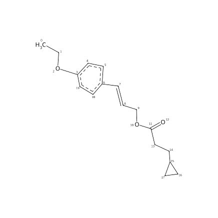 CCOc1ccc(C=CCOC(=O)CCC2CC2)cc1